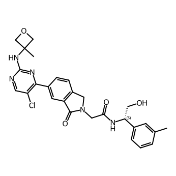 Cc1cccc([C@@H](CO)NC(=O)CN2Cc3ccc(-c4nc(NC5(C)COC5)ncc4Cl)cc3C2=O)c1